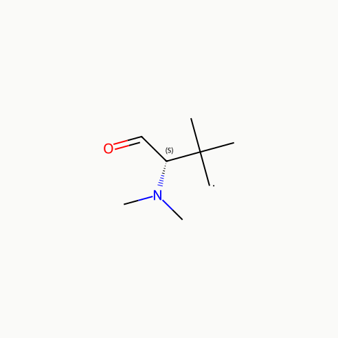 [CH2]C(C)(C)[C@@H](C=O)N(C)C